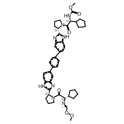 COO/C=N/[C@H](C(=O)N1CCC[C@H]1c1nc2cc(-c3ccc(-c4ccc5[nH]c([C@@H]6CCCN6C(=O)[C@@H](NC(=O)OC)C6CCCC6)nc5c4)cc3)ccc2[nH]1)C1CCCC1